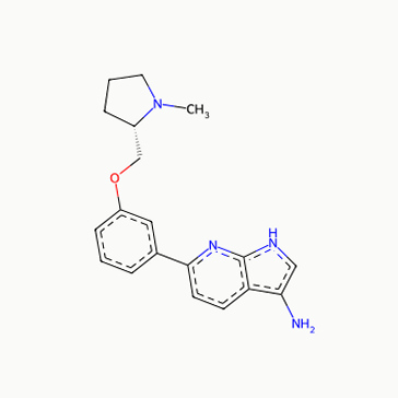 CN1CCC[C@H]1COc1cccc(-c2ccc3c(N)c[nH]c3n2)c1